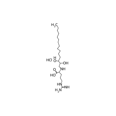 CCCCCCCCCCCCC(O)C(O)CNC(CCCNC(=N)N)C(=O)O.Cl